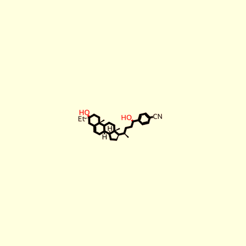 CC[C@]1(O)CC[C@@]2(C)C(=CC[C@@H]3C2CC[C@]2(C)[C@@H]([C@H](C)CCC(O)c4ccc(C#N)cc4)CC[C@@H]32)C1